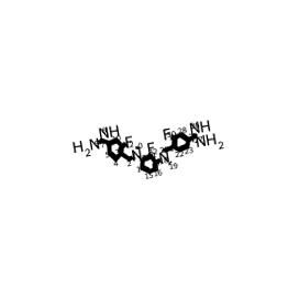 CN(Cc1ccc(C(=N)N)cc1F)c1cccc(N(C)Cc2ccc(C(=N)N)cc2F)c1F